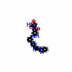 O=C1CCC(N2Cc3cc(NCc4cccc(N5CCC(n6cc(-c7cnc8ccccc8n7)cn6)CC5)c4)ccc3C2=O)C(=O)N1